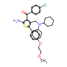 COCCOc1ccc(-c2sc(N)c(C(=O)c3ccc(Cl)cc3)c2CN(C2CCCCC2)C2CCCCC2)cc1